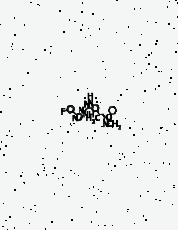 C=C(/C=C(\C=N/C)OC1CCCCC1)c1ccc2[nH]nc(-c3nc4c(-c5cccc(F)c5)nccc4[nH]3)c2c1